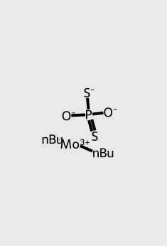 CCC[CH2][Mo+3][CH2]CCC.[O-]P([O-])(=S)[S-]